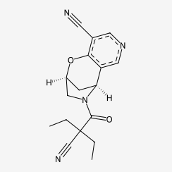 CCC(C#N)(CC)C(=O)N1C[C@@H]2C[C@H]1c1cncc(C#N)c1O2